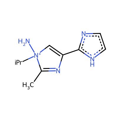 CC1=NC(c2ncc[nH]2)=C[N+]1(N)C(C)C